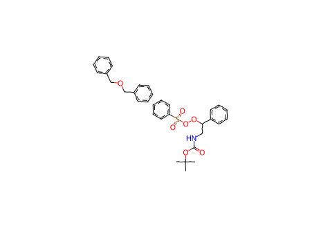 CC(C)(C)OC(=O)NCC(OOS(=O)(=O)c1ccccc1)c1ccccc1.c1ccc(COCc2ccccc2)cc1